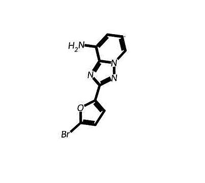 Nc1c[c]cn2nc(-c3ccc(Br)o3)nc12